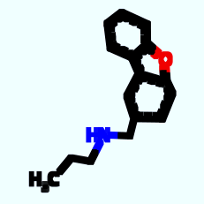 CCCNCc1ccc2oc3ccccc3c2c1